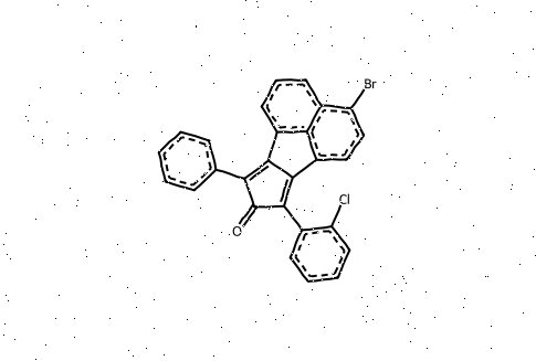 O=C1C(c2ccccc2)=C2C(=C1c1ccccc1Cl)c1ccc(Br)c3cccc2c13